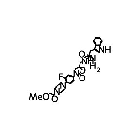 COCC(=O)N1CCN(c2ccc(N3CC(CNC(=O)[C@H](N)Cc4c[nH]c5ccccc45)OC3=O)cc2F)CC1